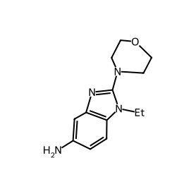 CCn1c(N2CCOCC2)nc2cc(N)ccc21